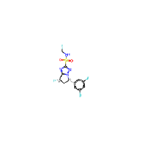 O=S(=O)(NCF)c1nc2n(n1)[C@H](c1cc(F)cc(F)c1)C[C@@H]2F